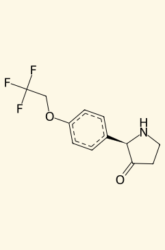 O=C1CCN[C@@H]1c1ccc(OCC(F)(F)F)cc1